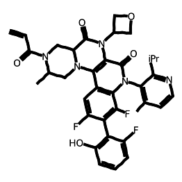 C=CC(=O)N1CC2C(=O)N(C3COC3)c3c(c4cc(F)c(-c5c(O)cccc5F)c(F)c4n(-c4c(C)ccnc4C(C)C)c3=O)N2CC1C